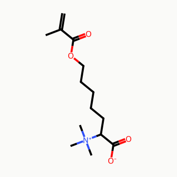 C=C(C)C(=O)OCCCCCC(C(=O)[O-])[N+](C)(C)C